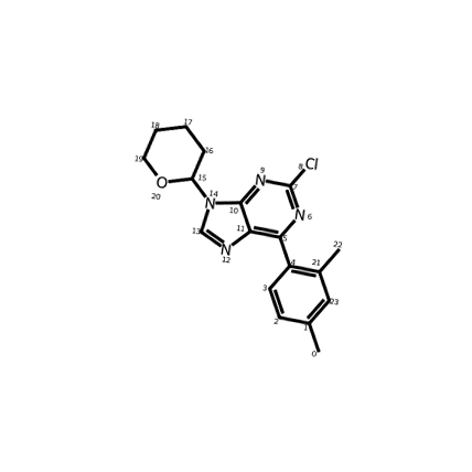 Cc1ccc(-c2nc(Cl)nc3c2ncn3C2CCCCO2)c(C)c1